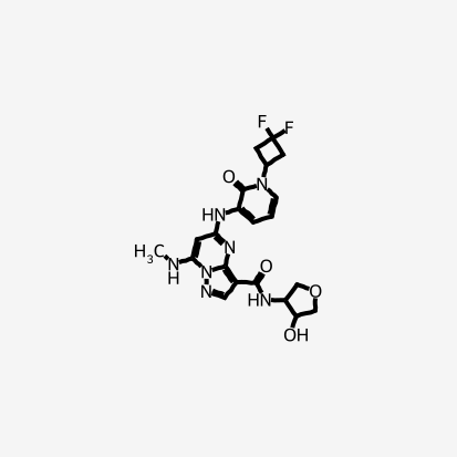 CNc1cc(Nc2cccn(C3CC(F)(F)C3)c2=O)nc2c(C(=O)NC3COCC3O)cnn12